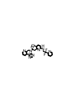 O=C(Cc1nc(NCC(F)(F)c2ccccn2)ccc1Cl)NCc1ncccc1-n1cncn1